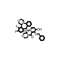 O=C1C2=C(OCc3ccccc3)C(O)C=CN2N([C@@H]2c3ccccc3N3CCOCC3c3c2ccc(F)c3F)[C@@H]2COCCN12